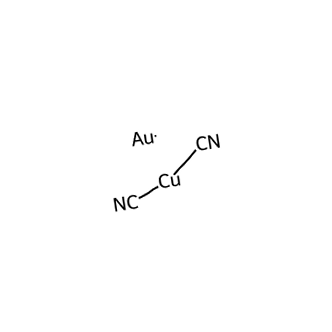 N#[C][Cu][C]#N.[Au]